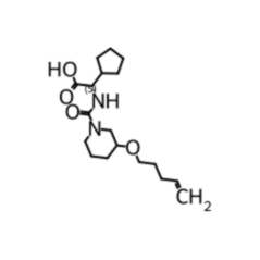 C=CCCCOC1CCCN(C(=O)N[C@H](C(=O)O)C2CCCC2)C1